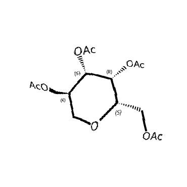 CC(=O)OC[C@@H]1OC[C@@H](OC(C)=O)[C@H](OC(C)=O)[C@@H]1OC(C)=O